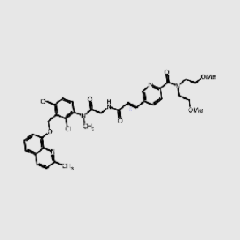 COCCN(CCOC)C(=O)c1ccc(/C=C/C(=O)NCC(=O)N(C)c2ccc(Cl)c(COc3cccc4ccc(C)nc34)c2Cl)cn1